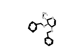 CO[C@@H]1OC=C[C@H](OCc2ccccc2)[C@H]1OCc1ccccc1